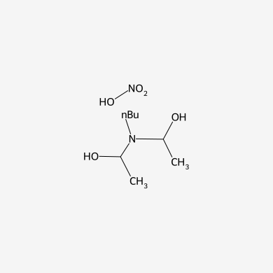 CCCCN(C(C)O)C(C)O.O=[N+]([O-])O